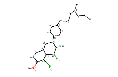 CCCC(C)CCCC1CCC([C@@H]2CC3CCC(OC)C(F)C3C(F)C2F)CC1